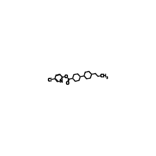 CCCC1CCC(C2CCC(C(=O)Oc3ccc(Cl)cn3)CC2)CC1